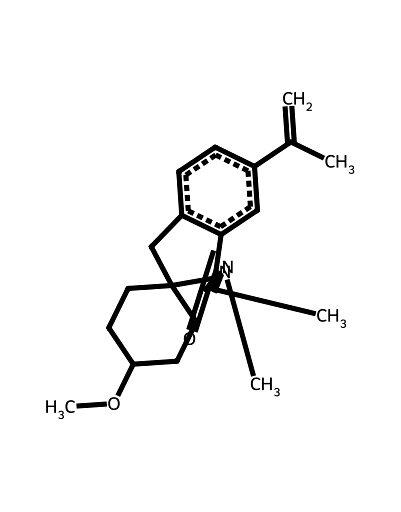 C=C(C)c1ccc2c(c1)C1(N=C(C)N(C)C1=O)C1(CCC(OC)CC1)C2